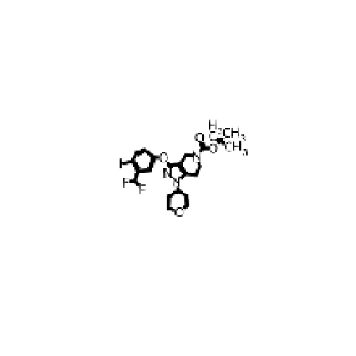 CC(C)(C)OC(=O)N1CCc2c(c(Oc3ccc(I)c(C(F)F)c3)nn2C2CCOCC2)C1